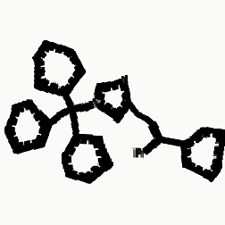 CC(C)C(=Cc1cn(C(c2ccccc2)(c2ccccc2)c2ccccc2)cn1)c1ccccc1